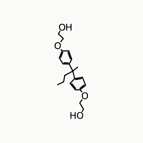 CCCC(C)(c1ccc(OCCO)cc1)c1ccc(OCCO)cc1